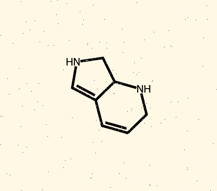 C1=CC2=CNC[C]2NC1